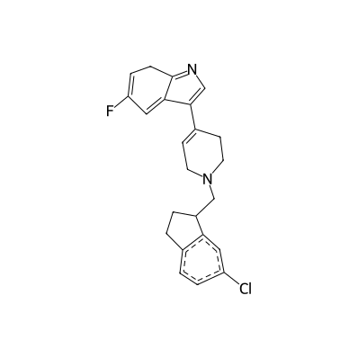 FC1=CCC2=NC=C(C3=CCN(CC4CCc5ccc(Cl)cc54)CC3)C2=C1